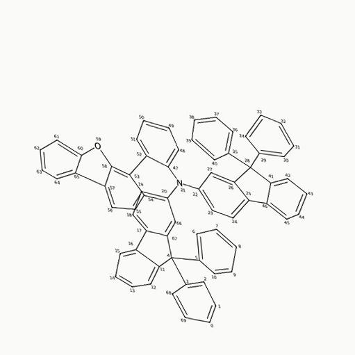 c1ccc(C2(c3ccccc3)c3ccccc3-c3ccc(N(c4ccc5c(c4)C(c4ccccc4)(c4ccccc4)c4ccccc4-5)c4ccccc4-c4cccc5c4oc4ccccc45)cc32)cc1